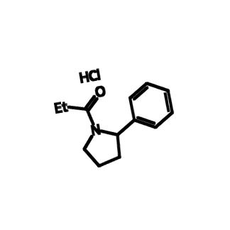 CCC(=O)N1CCCC1c1ccccc1.Cl